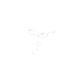 COc1ccc2c(-c3ccc(OCCN(C)C)cc3)c(Cc3ccc(F)cc3)oc2c1